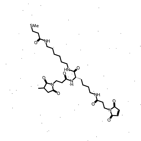 CSCCC(=O)NCCCCCCNC(=O)[C@H](CCCCNC(=O)CCN1C(=O)C=CC1=O)NC(=O)CCN1C(=O)CC(C)C1=O